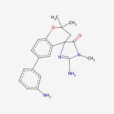 CN1C(=O)C2(CC(C)(C)Oc3ccc(-c4cccc(N)c4)cc32)N=C1N